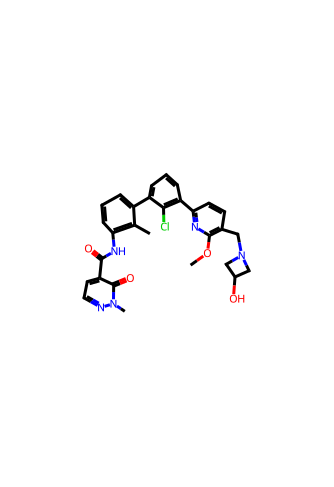 COc1nc(-c2cccc(-c3cccc(NC(=O)c4ccnn(C)c4=O)c3C)c2Cl)ccc1CN1CC(O)C1